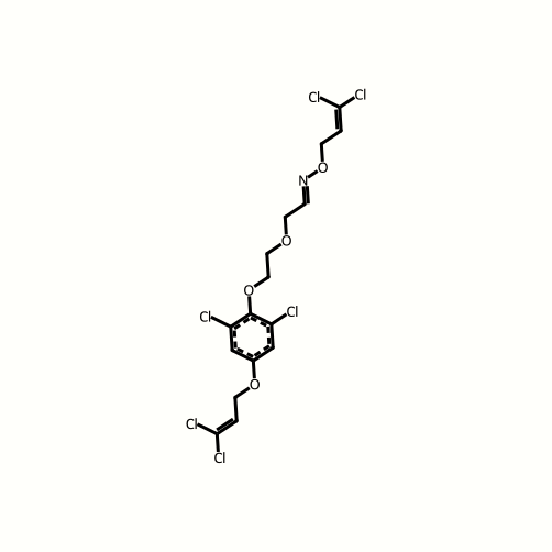 ClC(Cl)=CCON=CCOCCOc1c(Cl)cc(OCC=C(Cl)Cl)cc1Cl